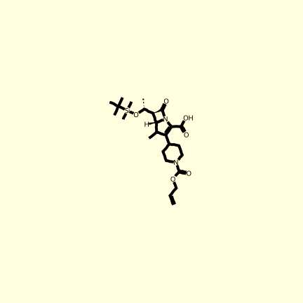 C=CCOC(=O)N1CCC(C2=C(C(=O)O)N3C(=O)[C@H]([C@@H](C)O[Si](C)(C)C(C)(C)C)[C@H]3C2C)CC1